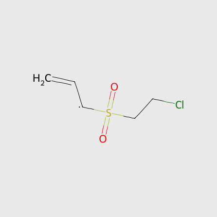 C=C[CH]S(=O)(=O)CCCl